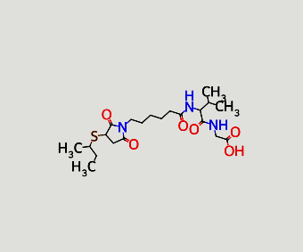 CCC(C)SC1CC(=O)N(CCCCCC(=O)NC(C(=O)NCC(=O)O)C(C)C)C1=O